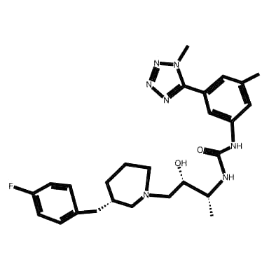 Cc1cc(NC(=O)N[C@H](C)[C@@H](O)CN2CCC[C@@H](Cc3ccc(F)cc3)C2)cc(-c2nnnn2C)c1